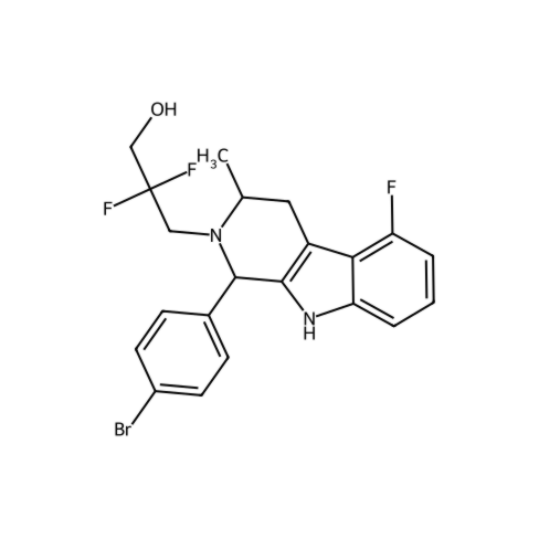 CC1Cc2c([nH]c3cccc(F)c23)C(c2ccc(Br)cc2)N1CC(F)(F)CO